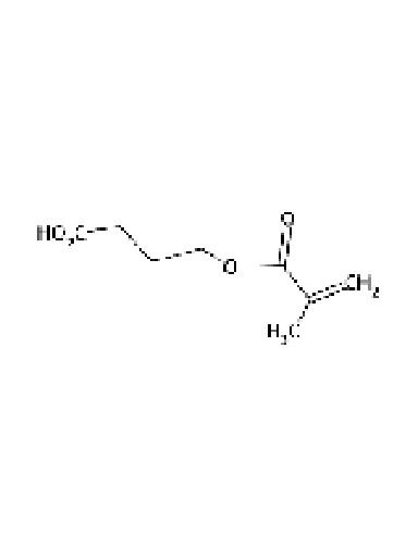 C=C(C)C(=O)OCCCC(=O)O